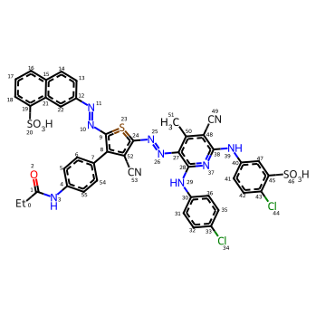 CCC(=O)Nc1ccc(-c2c(N=Nc3ccc4cccc(S(=O)(=O)O)c4c3)sc(N=Nc3c(Nc4ccc(Cl)cc4)nc(Nc4ccc(Cl)c(S(=O)(=O)O)c4)c(C#N)c3C)c2C#N)cc1